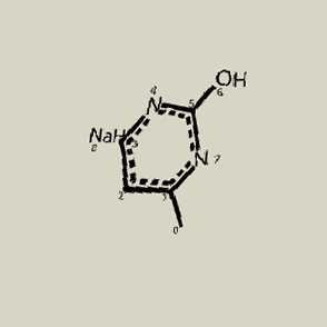 Cc1ccnc(O)n1.[NaH]